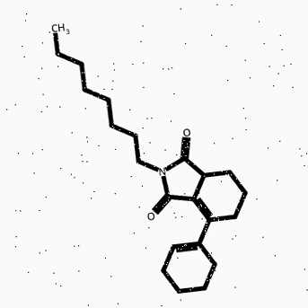 CCCCCCCCN1C(=O)C2=C(C3=CCCCC3)CCCC2C1=O